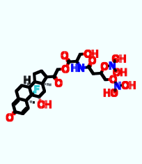 C[C@]12C[C@H](O)C3(F)[C@@H](CCC4=CC(=O)C=C[C@@]43C)C1CCC2C(=O)COC(=O)C(CO)NC(=O)CC(CON(O)O)ON(O)O